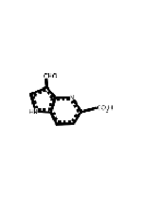 O=Cc1c[nH]c2ccc(C(=O)O)nc12